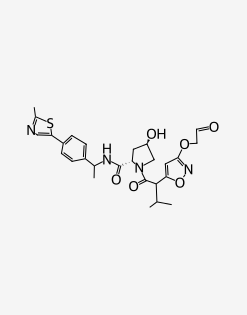 Cc1ncc(-c2ccc(C(C)NC(=O)[C@@H]3C[C@@H](O)CN3C(=O)C(c3cc(OCC=O)no3)C(C)C)cc2)s1